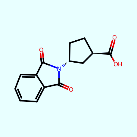 O=C(O)[C@@H]1CC[C@@H](N2C(=O)c3ccccc3C2=O)C1